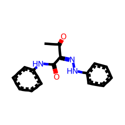 CC(=O)C(=NNc1ccccc1)C(=O)Nc1ccccc1